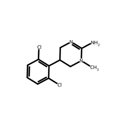 CN1CC(c2c(Cl)cccc2Cl)CN=C1N